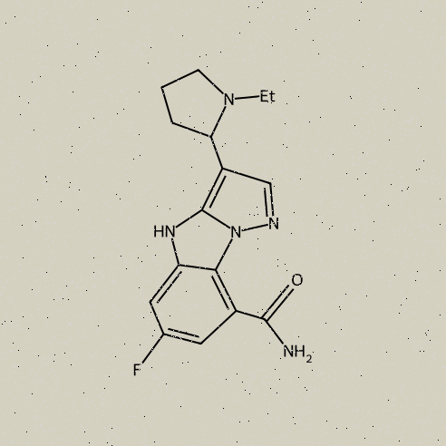 CCN1CCCC1c1cnn2c1[nH]c1cc(F)cc(C(N)=O)c12